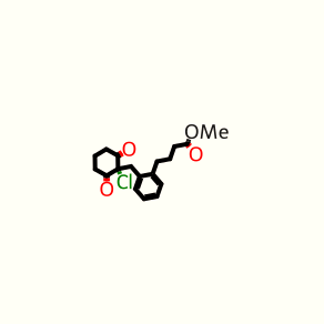 COC(=O)CCCc1ccccc1CC1(Cl)C(=O)CCCC1=O